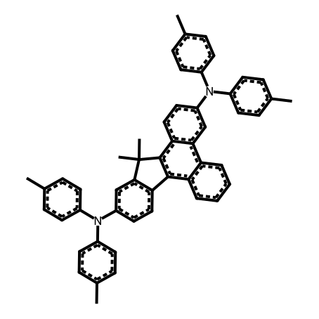 Cc1ccc(N(c2ccc(C)cc2)c2ccc3c(c2)C(C)(C)c2c-3c3ccccc3c3cc(N(c4ccc(C)cc4)c4ccc(C)cc4)ccc23)cc1